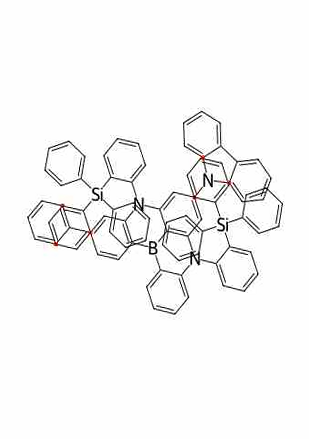 c1ccc(-c2ccc3c(c2)N(c2ccccc2[Si](c2ccccc2)(c2ccccc2)c2ccccc2)c2cc(-n4c5ccccc5c5ccccc54)cc4c2B3c2ccccc2N4c2ccccc2[Si](c2ccccc2)(c2ccccc2)c2ccccc2)cc1